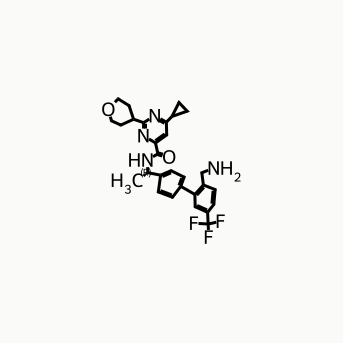 C[C@@H](NC(=O)c1cc(C2CC2)nc(C2CCOCC2)n1)c1ccc(-c2cc(C(F)(F)F)ccc2CN)cc1